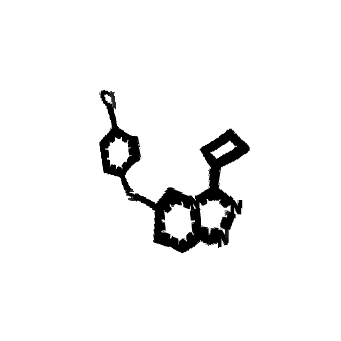 Clc1ccc(Sc2ccc3nnc(C4=CC=C4)n3c2)cc1